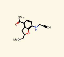 C#CCNc1ccc(C(=O)NC)c2c1OC(COC)C2